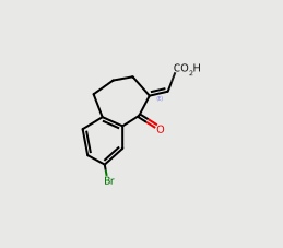 O=C(O)/C=C1\CCCc2ccc(Br)cc2C1=O